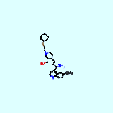 COc1ccc2nccc([C@@H](N)CC[C@@H]3CCN(CCSC4CCCCC4)C[C@@H]3CO)c2c1